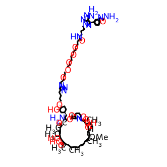 CO[C@H]1C[C@@H]2CC[C@@H](C)[C@@](O)(O2)C(=O)C(=O)N2CCCC[C@H]2C(=O)O[C@H]([C@H](N)C[C@@H]2CC[C@@H](OCCCCc3cn(CCOCCOCCOCCOCCOCCC(=O)NCCCCn4nc(-c5ccc6oc(N)nc6c5)c5c(N)ncnc54)nn3)[C@H](O)C2)CC(=O)[C@H](C)/C=C(\C)[C@@H](O)[C@@H](O)C(=O)[C@H](C)C[C@H](C)/C=C/C=C/C=C/1C